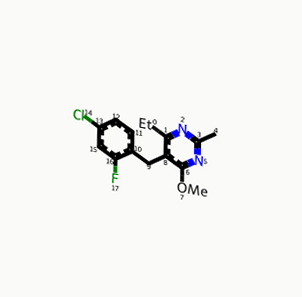 CCc1nc(C)nc(OC)c1Cc1ccc(Cl)cc1F